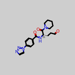 O=CCC[C@H](NC(=O)c1ccc(-n2ccnn2)cc1)C(=O)N1CCCCC1